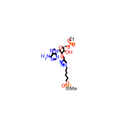 CCO[PH](=O)OC[C@H]1O[C@@H](n2cnc3c(N)ncnc32)C(OCc2cn(CCCCCCO[PH](=O)OC)nn2)C1O